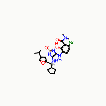 CC(C)c1coc([C@H](Nc2n[s+]([O-])nc2Nc2ccc(Br)c(C(=O)N(C)C)c2O)C2CCCC2)c1